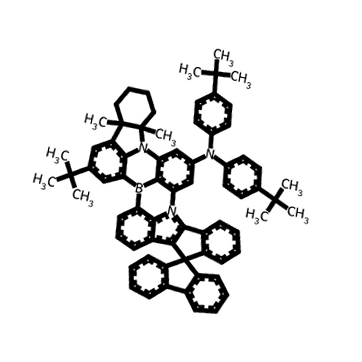 CC(C)(C)c1ccc(N(c2ccc(C(C)(C)C)cc2)c2cc3c4c(c2)-n2c5c(c6cccc(c62)B4c2cc(C(C)(C)C)cc4c2N3C2(C)CCCCC42C)C2(c3ccccc3-c3ccccc32)c2ccccc2-5)cc1